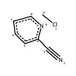 CCl.N#Cc1ccccn1